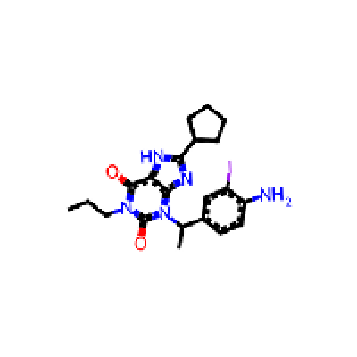 CCCn1c(=O)c2[nH]c(C3CCCC3)nc2n(C(C)c2ccc(N)c(I)c2)c1=O